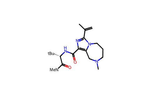 C=C(C)c1nc(C(=O)N[C@H](C(=O)NC)C(C)(C)C)c2n1CCCN(C)C2